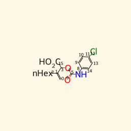 C=C(CCCCCC)C(OC(=O)Nc1ccc(Cl)cc1)C(=O)O